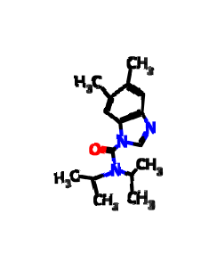 Cc1cc2ncn(C(=O)N(C(C)C)C(C)C)c2cc1C